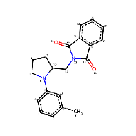 Cc1cccc(N2CCCC2CN2C(=O)c3ccccc3C2=O)c1